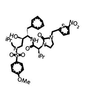 COc1ccc(S(=O)(=O)N(CC(C)C)C[C@@H](O)[C@H](Cc2ccccc2)NC(=O)[C@H](C(C)C)N2CCN(Cc3ccc([N+](=O)[O-])s3)C2=O)cc1